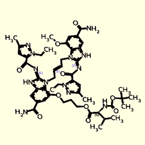 CCn1nc(C)cc1C(=O)/N=c1/[nH]c2cc(C(N)=O)cc(OC)c2n1C/C=C/Cn1/c(=N/C(=O)c2cc(C)nn2CC)[nH]c2cc(C(N)=O)cc(OCCCOC(=O)[C@@H](NC(=O)OC(C)(C)C)C(C)C)c21